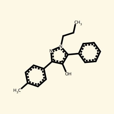 CCCn1nc(-c2ccc(C)cc2)c(O)c1-c1ccccc1